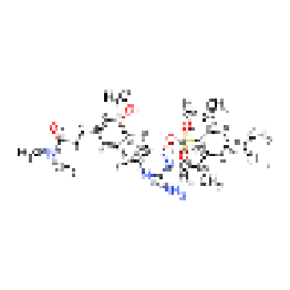 COc1cc(/C=C/C(=O)N(C)C)ccc1Cc1c(C)nc(N)nc1OS(=O)(=O)c1c(C(C)C)cc(C(C)C)cc1C(C)C